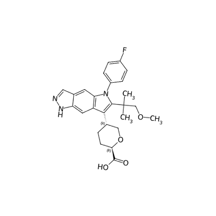 COCC(C)(C)c1c([C@H]2CC[C@H](C(=O)O)OC2)c2cc3[nH]ncc3cc2n1-c1ccc(F)cc1